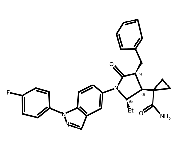 CC[C@@H]1[C@H](C2(C(N)=O)CC2)[C@H](Cc2ccccc2)C(=O)N1c1ccc2c(cnn2-c2ccc(F)cc2)c1